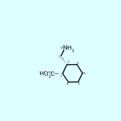 NC[C@@H]1CCCC[C@@H]1C(=O)O